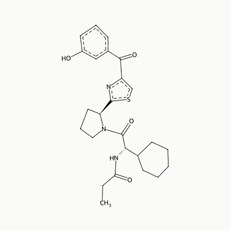 C[CH]C(=O)N[C@H](C(=O)N1CCC[C@H]1c1nc(C(=O)c2cccc(O)c2)cs1)C1CCCCC1